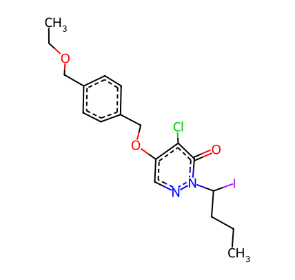 CCCC(I)n1ncc(OCc2ccc(COCC)cc2)c(Cl)c1=O